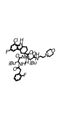 CCC(C)[C@H](NC(=O)Cc1ccccc1F)C(=O)N[C@]1(C(=O)N[C@H](C(=O)NCCN2CCOCC2)C(C)CC)CCc2[nH]c3c(Cl)cc(F)cc3c2C1